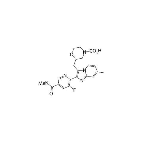 CNC(=O)c1cnc(-c2nc3cc(C)ccn3c2CC2CN(C(=O)O)CCO2)c(F)c1